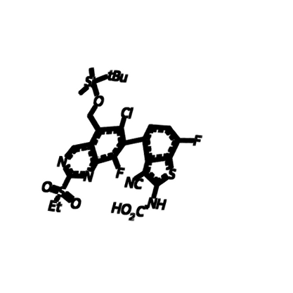 CCS(=O)(=O)c1ncc2c(CO[Si](C)(C)C(C)(C)C)c(Cl)c(-c3ccc(F)c4sc(NC(=O)O)c(C#N)c34)c(F)c2n1